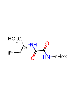 CCCCCCNC(=O)C(=O)N[C@H](CC(C)C)C(=O)O